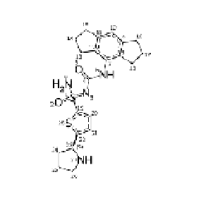 NS(=O)(=NC(=O)Nc1c2c(cc3c1CCC3)CCC2)c1ccc([C@@H]2CCCN2)s1